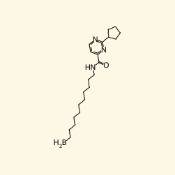 BCCCCCCCCCCCNC(=O)c1ccnc(C2CCCC2)n1